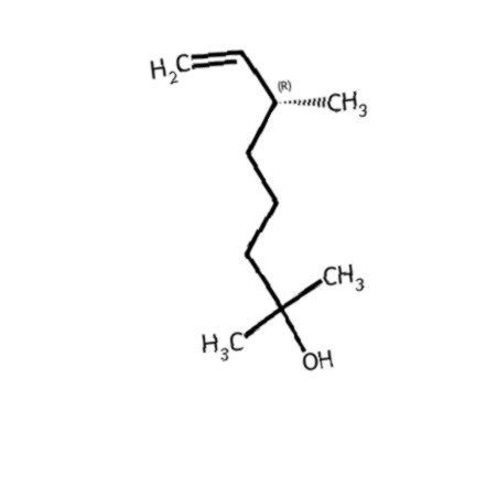 C=C[C@H](C)CCCC(C)(C)O